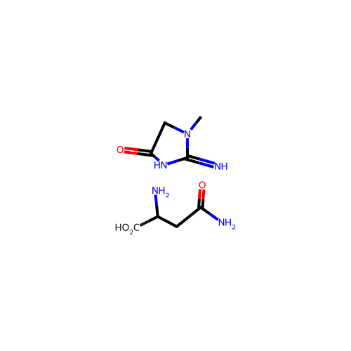 CN1CC(=O)NC1=N.NC(=O)CC(N)C(=O)O